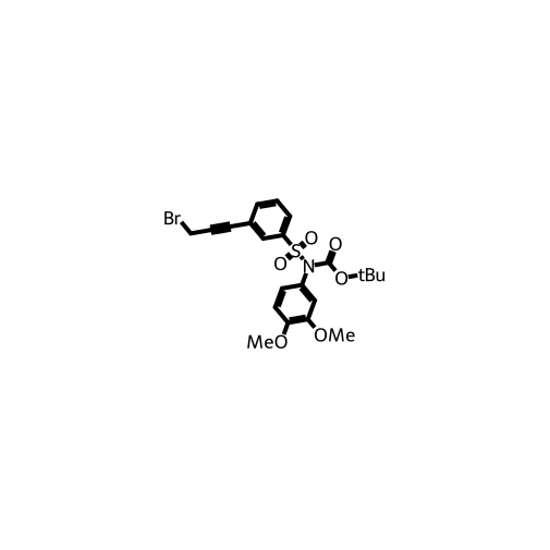 COc1ccc(N(C(=O)OC(C)(C)C)S(=O)(=O)c2cccc(C#CCBr)c2)cc1OC